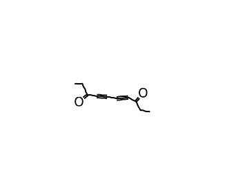 CCC(=O)C#CC#CC(=O)CC